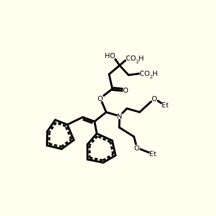 CCOCCN(CCOCC)C(OC(=O)CC(O)(CC(=O)O)C(=O)O)C(=Cc1ccccc1)c1ccccc1